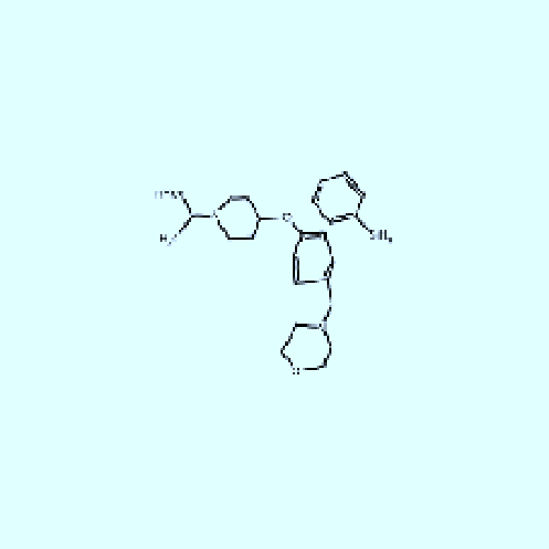 CCCCCCC(C)N1CCC(Oc2ccc(CN3CCOCC3)cc2)CC1.[SiH3]c1ccccc1